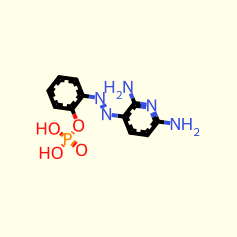 Nc1ccc(N=Nc2ccccc2OP(=O)(O)O)c(N)n1